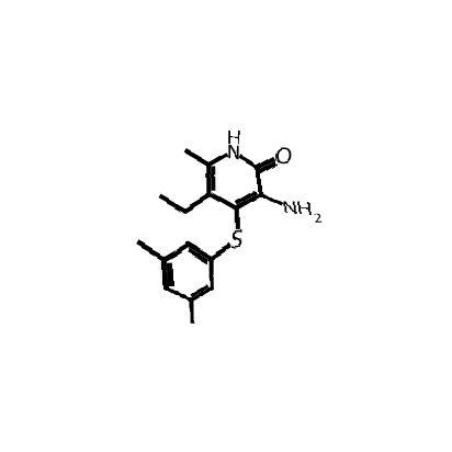 CCc1c(C)[nH]c(=O)c(N)c1Sc1cc(C)cc(C)c1